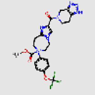 COC(=O)[N+]1(c2ccc(OC(F)(F)F)cc2)CCc2nc(C(=O)N3CCc4[nH]nnc4C3)cn2CC1